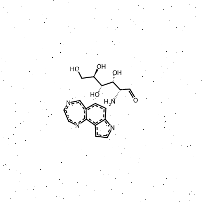 N[C@@H](C=O)[C@@H](O)[C@H](O)[C@H](O)CO.c1cnc2c(ccc3nccc32)cn1